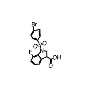 O=C(O)C1CN(S(=O)(=O)c2ccc(Br)cc2)c2c(F)cccc21